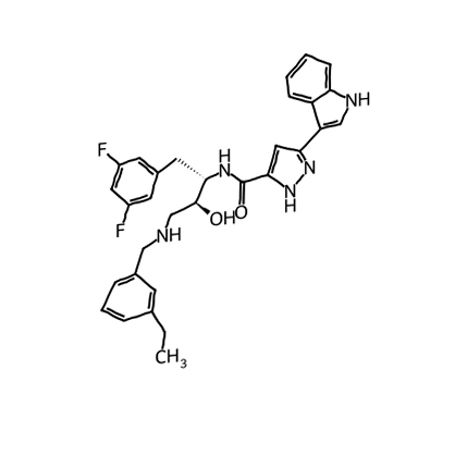 CCc1cccc(CNC[C@H](O)[C@H](Cc2cc(F)cc(F)c2)NC(=O)c2cc(-c3c[nH]c4ccccc34)n[nH]2)c1